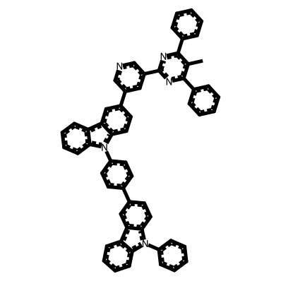 Cc1c(-c2ccccc2)nc(-c2cncc(-c3ccc4c(c3)c3ccccc3n4-c3ccc(-c4ccc5c(c4)c4ccccc4n5-c4ccccc4)cc3)c2)nc1-c1ccccc1